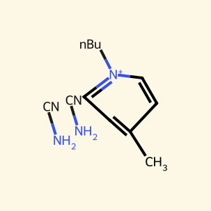 CCCC[n+]1ccc(C)cc1.N#CN.N#CN